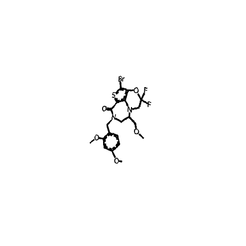 COCC1CN(Cc2ccc(OC)cc2OC)C(=O)c2sc(Br)c3c2N1CC(F)(F)O3